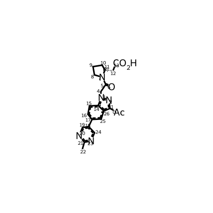 CC(=O)c1nn(CC(=O)N2CCC[C@@H]2CC(=O)O)c2ccc(-c3cnc(C)nc3)cc12